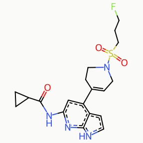 O=C(Nc1cc(C2=CCN(S(=O)(=O)CCCF)CC2)c2cc[nH]c2n1)C1CC1